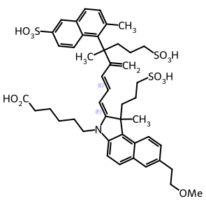 C=C(/C=C/C=C1/N(CCCCCC(=O)O)c2ccc3cc(CCOC)ccc3c2C1(C)CCCS(=O)(=O)O)C(C)(CCCS(=O)(=O)O)c1c(C)ccc2cc(S(=O)(=O)O)ccc12